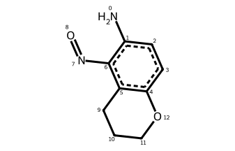 Nc1ccc2c(c1N=O)CCCO2